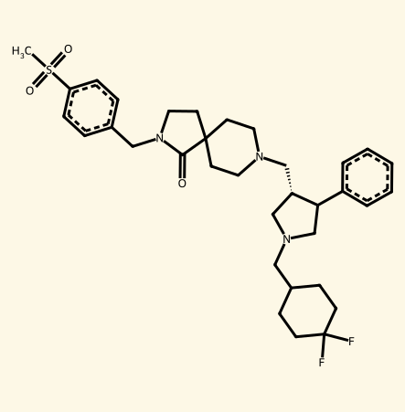 CS(=O)(=O)c1ccc(CN2CCC3(CCN(C[C@H]4CN(CC5CCC(F)(F)CC5)CC4c4ccccc4)CC3)C2=O)cc1